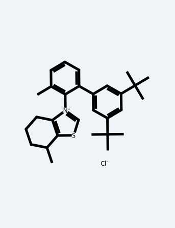 Cc1cccc(-c2cc(C(C)(C)C)cc(C(C)(C)C)c2)c1-[n+]1csc2c1CCCC2C.[Cl-]